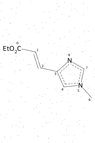 CCOC(=O)C=Cc1cn(C)cn1